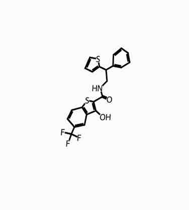 O=C(NCC(c1ccccc1)c1cccs1)c1sc2ccc(C(F)(F)F)cc2c1O